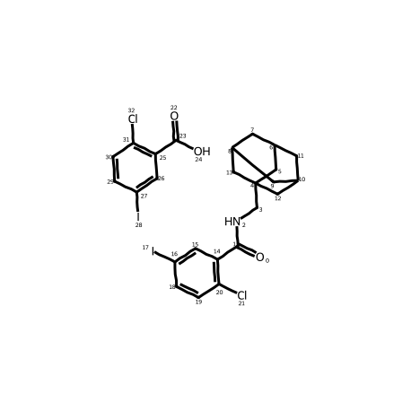 O=C(NCC12CC3CC(CC(C3)C1)C2)c1cc(I)ccc1Cl.O=C(O)c1cc(I)ccc1Cl